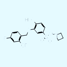 Cc1ccc(S(=O)(=O)ON2CCC2)cc1OCc1ccc(F)cc1C(F)(F)F